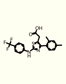 Cc1ccc(-c2nc(Nc3ccc(C(F)(F)F)cc3)sc2CC(=O)O)c(C)c1